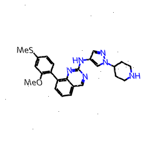 COc1cc(SC)ccc1-c1cccc2cnc(Nc3cnn(C4CCNCC4)c3)nc12